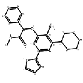 COC(=O)C(Oc1nc(-c2cccs2)cc(C2CCCCC2)c1N)c1ccccc1